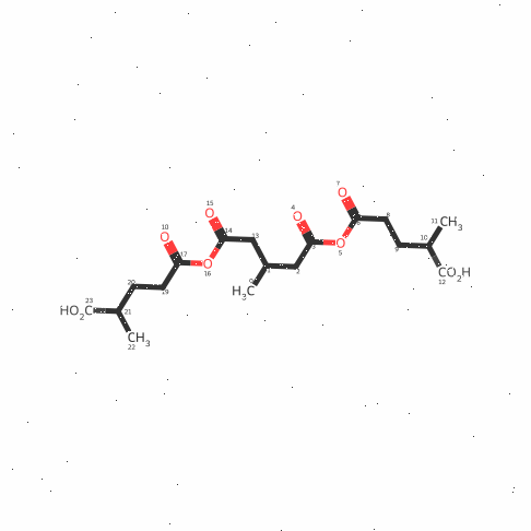 CC(CC(=O)OC(=O)CCC(C)C(=O)O)CC(=O)OC(=O)CCC(C)C(=O)O